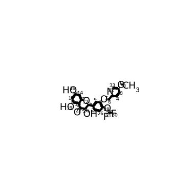 COc1ccc(COc2cc(C3Oc4cc(O)cc(O)c4C(=O)C3O)ccc2OC(F)F)nc1